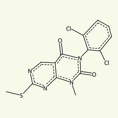 CSc1ncc2c(=O)n(-c3c(Cl)cccc3Cl)c(=O)n(C)c2n1